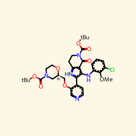 COc1c(Cl)cccc1Nc1c(-c2ccncc2OC[C@H]2CN(C(=O)OC(C)(C)C)CCO2)[nH]c2c1C(=O)N(C(=O)OC(C)(C)C)CC2